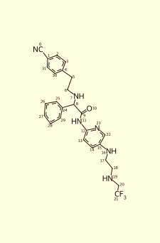 N#Cc1ccc(CCNC(C(=O)Nc2ccc(NCCNCC(F)(F)F)cn2)c2ccccc2)cc1